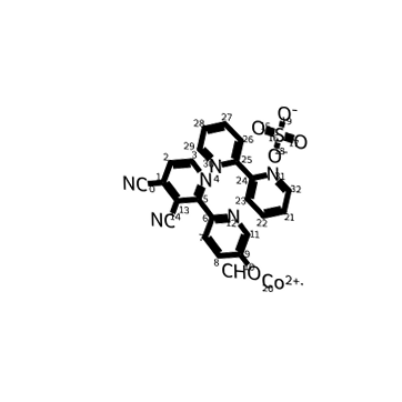 N#Cc1ccnc(-c2ccc(C=O)cn2)c1C#N.O=S(=O)([O-])[O-].[Co+2].c1ccc(-c2ccccn2)nc1